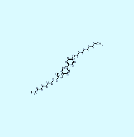 CCCCCCCCCOc1ccc(-c2ncc(OC(=O)CCCCCCCCC)cn2)cc1